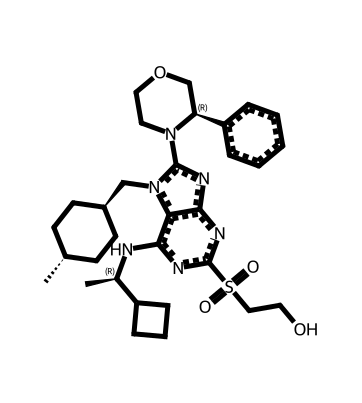 C[C@@H](Nc1nc(S(=O)(=O)CCO)nc2nc(N3CCOC[C@H]3c3ccccc3)n(C[C@H]3CC[C@H](C)CC3)c12)C1CCC1